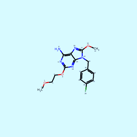 COCCOc1nc(N)c2nc(OC)n(Cc3ccc(F)cc3)c2n1